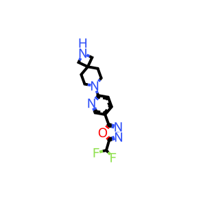 FC(F)c1nnc(-c2ccc(N3CCC4(CC3)CNC4)nc2)o1